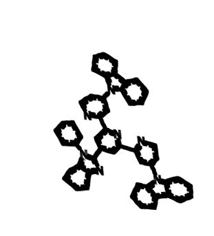 c1ccc(-n2c(-c3cc(-c4cc(-n5c6ccccc6c6ccccc65)ccn4)nc(-c4cc(-n5c6ccccc6c6ccccc65)ccn4)c3)nc3ccccc32)cc1